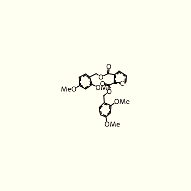 COc1ccc(COC(=O)c2ccccc2C(=O)OCc2ccc(OC)cc2OC)c(OC)c1